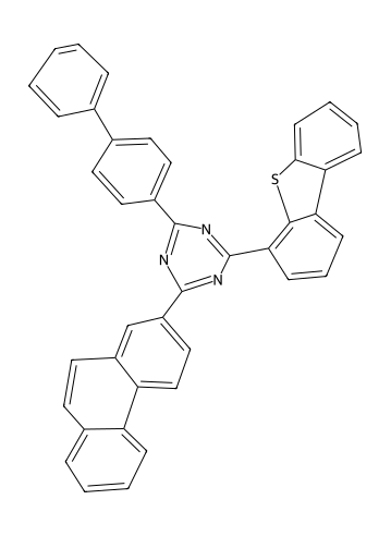 c1ccc(-c2ccc(-c3nc(-c4ccc5c(ccc6ccccc65)c4)nc(-c4cccc5c4sc4ccccc45)n3)cc2)cc1